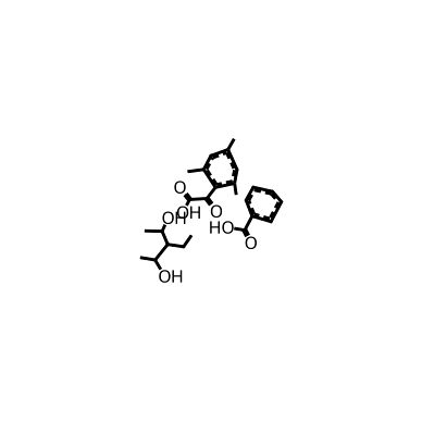 CCC(C(C)O)C(C)O.Cc1cc(C)c(C(=O)C(=O)O)c(C)c1.O=C(O)c1ccccc1